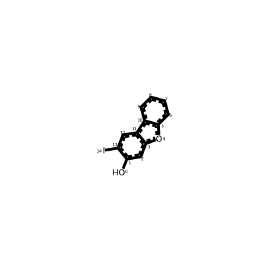 Oc1cc2oc3ccccc3c2cc1I